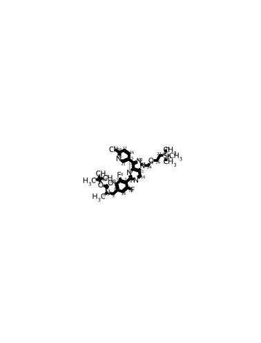 CN(Cc1cc(F)c(-c2ncc3c(n2)c(-c2ccc(Cl)nc2)nn3COCC[Si](C)(C)C)c(F)c1)C(=O)OC(C)(C)C